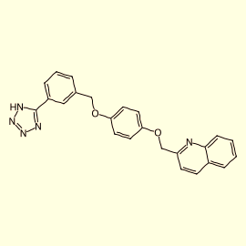 c1cc(COc2ccc(OCc3ccc4ccccc4n3)cc2)cc(-c2nnn[nH]2)c1